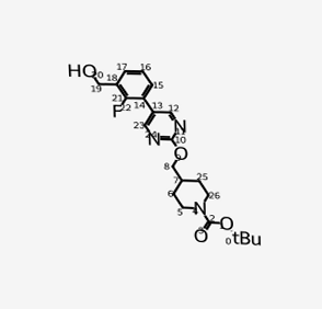 CC(C)(C)OC(=O)N1CCC(COc2ncc(-c3cccc(CO)c3F)cn2)CC1